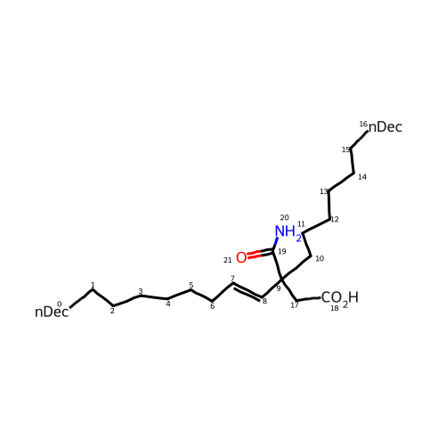 CCCCCCCCCCCCCCCCC=CC(CCCCCCCCCCCCCCCC)(CC(=O)O)C(N)=O